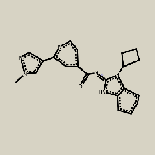 Cn1cc(-c2cc(C(=O)/N=c3\[nH]c4ccccc4n3C3CCC3)ccn2)cn1